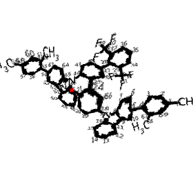 Cc1ccc(-c2ccc3c(c2)c2ccccc2n3-c2ccc(C#N)c(-c3cc(-c4c(C(F)(F)F)cccc4C(F)(F)F)ccc3-n3c4ccccc4c4cc(-c5ccc(C)cc5C)ccc43)c2)c(C)c1